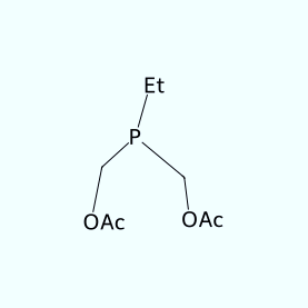 CCP(COC(C)=O)COC(C)=O